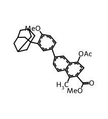 COC(=O)c1cc(OC(C)=O)c2cc(-c3ccc(OC)c(C45CC6CC(CC(C6)C4)C5)c3)ccc2c1C